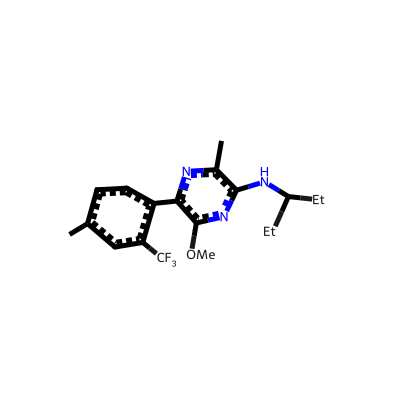 CCC(CC)Nc1nc(OC)c(-c2ccc(C)cc2C(F)(F)F)nc1C